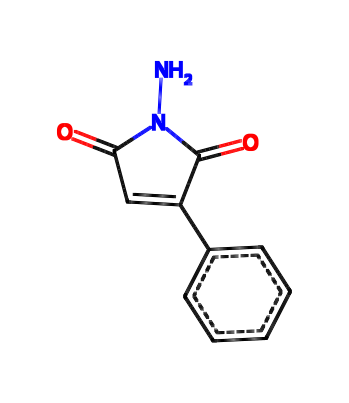 NN1C(=O)C=C(c2ccccc2)C1=O